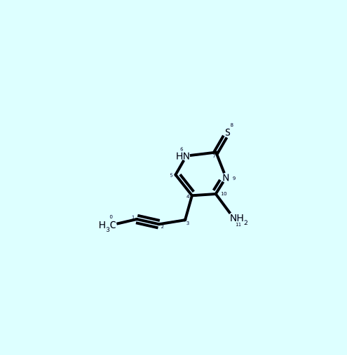 CC#CCc1c[nH]c(=S)nc1N